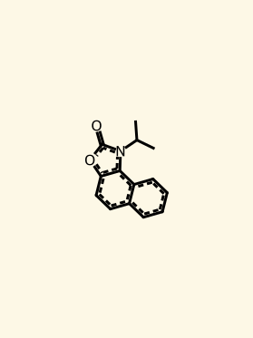 CC(C)n1c(=O)oc2ccc3ccccc3c21